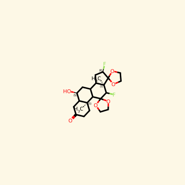 C[C@]12CCC(=O)CC1[C@@H](O)CC1C2C2(OCCO2)C(F)[C@@]2(C)C1C[C@@H](F)C21OCCO1